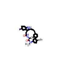 CCCc1ccc(N(C)C(=O)[C@@H]2Cc3cccc(c3)C/C=C\c3[nH]c4ccc(I)cc4c3CC(=O)N2)cc1